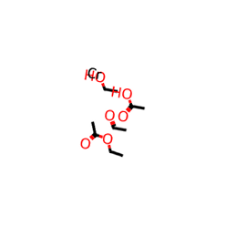 CC(=O)O.CC=O.CCO.CCOC(C)=O.[Cr]